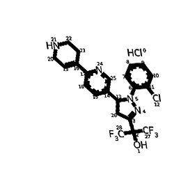 Cl.OC(C1=NN(c2ccccc2Cl)C(c2ccc(C3=CCNCC3)nc2)C1)(C(F)(F)F)C(F)(F)F